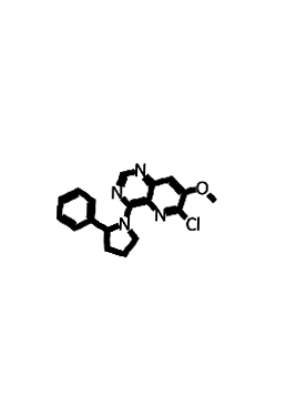 COc1cc2ncnc(N3CCCC3c3ccccc3)c2nc1Cl